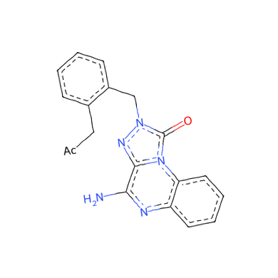 CC(=O)Cc1ccccc1Cn1nc2c(N)nc3ccccc3n2c1=O